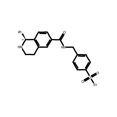 CCS(=O)(=O)c1ccc(CNC(=O)c2ccc3c(c2)CCN[C@H]3C(C)C)cc1